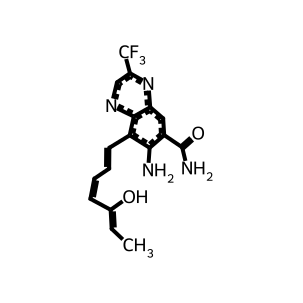 C/C=C(O)/C=C\C=C\c1c(N)c(C(N)=O)cc2nc(C(F)(F)F)cnc12